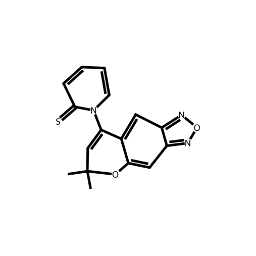 CC1(C)C=C(n2ccccc2=S)c2cc3nonc3cc2O1